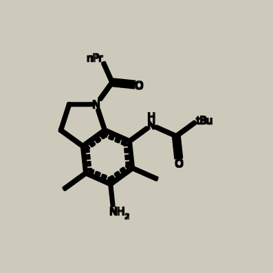 CCCC(=O)N1CCc2c(C)c(N)c(C)c(NC(=O)C(C)(C)C)c21